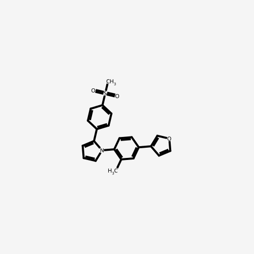 Cc1cc(-c2ccoc2)ccc1-n1cccc1-c1ccc(S(C)(=O)=O)cc1